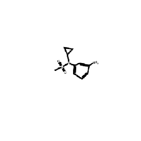 CS(=O)(=O)N(c1cccc(N)c1)C1CC1